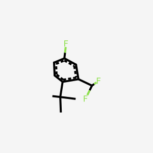 CC(C)(C)c1ccc(F)cc1C(F)F